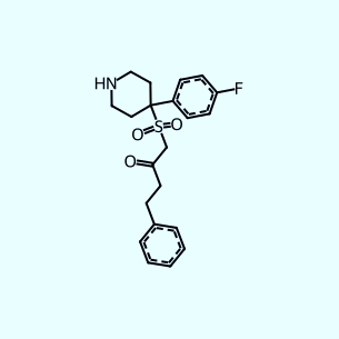 O=C(CCc1ccccc1)CS(=O)(=O)C1(c2ccc(F)cc2)CCNCC1